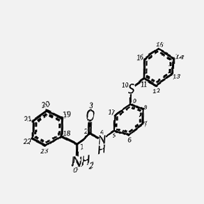 NC(C(=O)Nc1cccc(Sc2ccccc2)c1)c1ccccc1